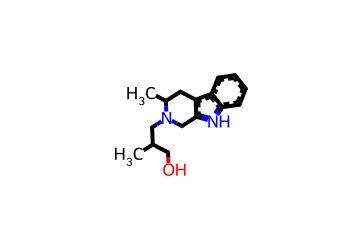 CC(CO)CN1Cc2[nH]c3ccccc3c2CC1C